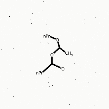 CCCOC(C)OC([O])CCC